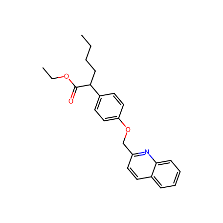 CCCCC(C(=O)OCC)c1ccc(OCc2ccc3ccccc3n2)cc1